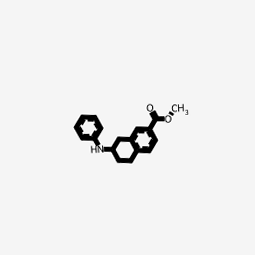 COC(=O)c1ccc2c(c1)CC(Nc1ccccc1)CC2